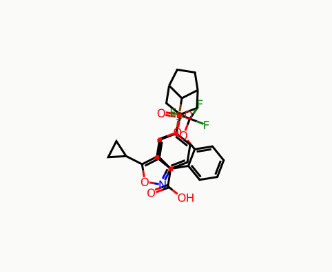 O=C(O)c1ccc(S(=O)(=O)C2C3CCC2CC(OCc2c(-c4ccccc4OC(F)(F)F)noc2C2CC2)C3)cc1